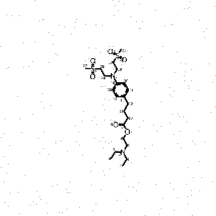 CCN(CC)CCOC(=O)CCCc1ccc(N(CCS(C)(=O)=O)CCS(C)(=O)=O)cc1